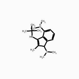 CC1=C(NC(C)(C)C)c2c(cccc2[SiH](C)C)[CH]1[Ti]([CH3])[CH3]